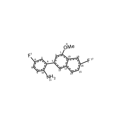 COc1cc(-c2cc(F)ccc2N)cc2ccc(F)cc12